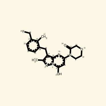 Cc1nn2c(O)cc(N3CCOCC3=O)nc2c1Cc1cccc(CF)c1C